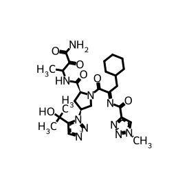 CC(NC(=O)[C@@H]1C[C@H](n2nncc2C(C)(C)O)CN1C(=O)/C(CC1CCCCC1)=N/C(=O)c1cn(C)nn1)C(=O)C(N)=O